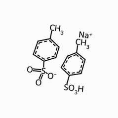 Cc1ccc(S(=O)(=O)O)cc1.Cc1ccc(S(=O)(=O)[O-])cc1.[Na+]